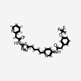 O=C(Cc1cccc(OC(F)(F)F)c1)Nc1ccc(CCCCc2nnc(NC(=O)Cc3ccccn3)s2)nc1